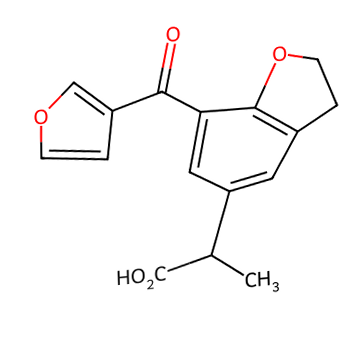 CC(C(=O)O)c1cc2c(c(C(=O)c3ccoc3)c1)OCC2